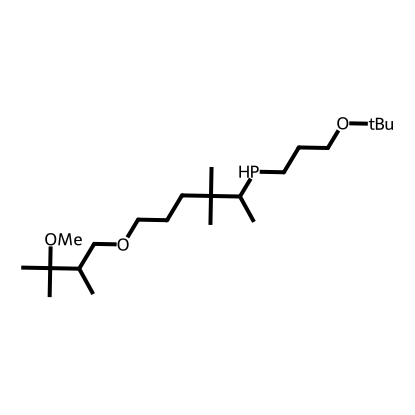 COC(C)(C)C(C)COCCCC(C)(C)C(C)PCCCOC(C)(C)C